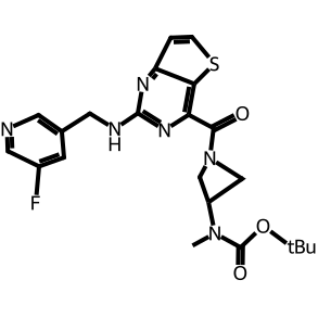 CN(C(=O)OC(C)(C)C)C1CN(C(=O)c2nc(NCc3cncc(F)c3)nc3ccsc23)C1